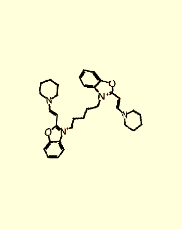 C(=CN1CCCCC1)c1oc2ccccc2[n+]1CCCCC[n+]1c(C=CN2CCCCC2)oc2ccccc21